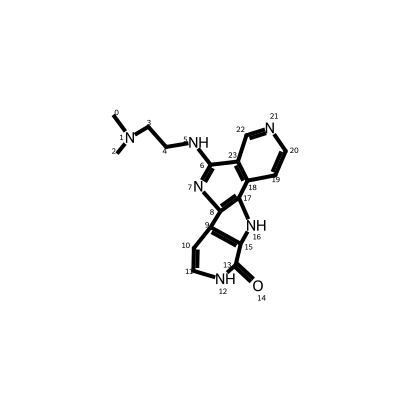 CN(C)CCNc1nc2c3cc[nH]c(=O)c3[nH]c2c2ccncc12